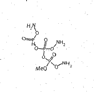 COP(=O)(ON)OP(=O)(ON)O[PH](=O)ON